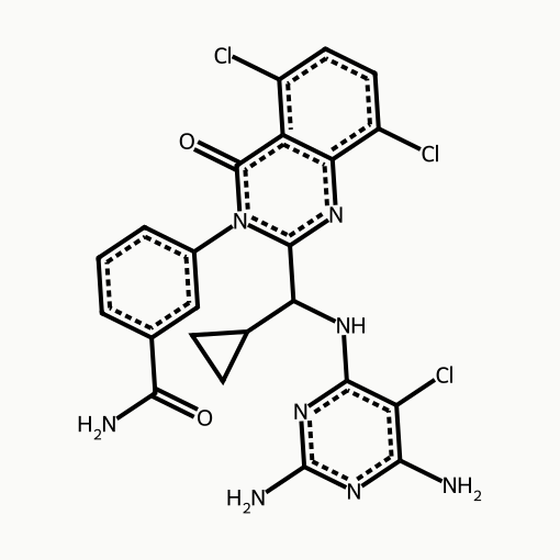 NC(=O)c1cccc(-n2c(C(Nc3nc(N)nc(N)c3Cl)C3CC3)nc3c(Cl)ccc(Cl)c3c2=O)c1